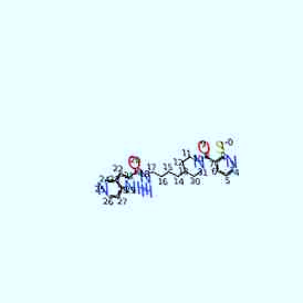 CSc1ncccc1C(=O)N1CCC(CCCCNC(=O)c2cc3cnccc3[nH]2)CC1